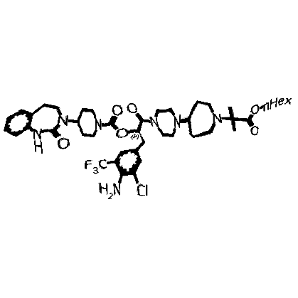 CCCCCCOC(=O)C(C)(C)N1CCC(N2CCN(C(=O)[C@@H](Cc3cc(Cl)c(N)c(C(F)(F)F)c3)OC(=O)N3CCC(N4CCc5ccccc5NC4=O)CC3)CC2)CC1